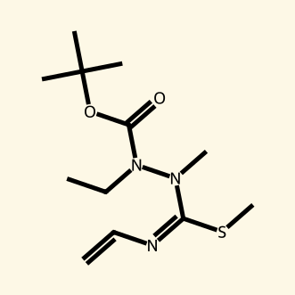 C=C/N=C(/SC)N(C)N(CC)C(=O)OC(C)(C)C